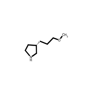 COCCC[C@H]1CCNC1